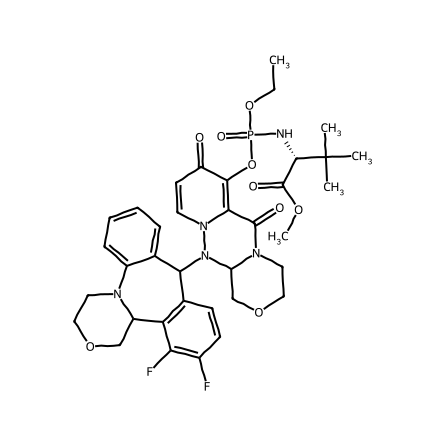 CCOP(=O)(N[C@@H](C(=O)OC)C(C)(C)C)Oc1c2n(ccc1=O)N(C1c3ccccc3N3CCOCC3c3c1ccc(F)c3F)C1COCCN1C2=O